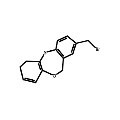 BrCc1ccc2c(c1)COC1=C(CCC=C1)S2